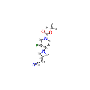 CC(C)(C)OC(=O)N1CC[C@H](N2CC(=CC#N)C2)[C@H](F)C1